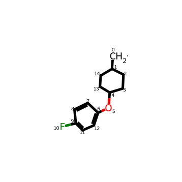 [CH2]C1CCC(Oc2ccc(F)cc2)CC1